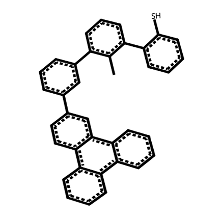 Cc1c(-c2cccc(-c3ccc4c5ccccc5c5ccccc5c4c3)c2)cccc1-c1ccccc1S